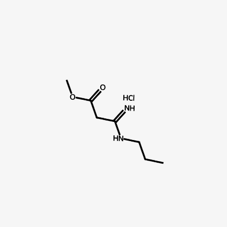 CCCNC(=N)CC(=O)OC.Cl